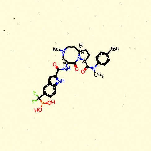 CC(=O)N1CC[C@H]2CC[C@@H](C(=O)N(C)c3ccc(C(C)(C)C)cc3)N2C(=O)[C@@H](NC(=O)c2cc3cc(C(F)(F)P(O)O)ccc3[nH]2)C1